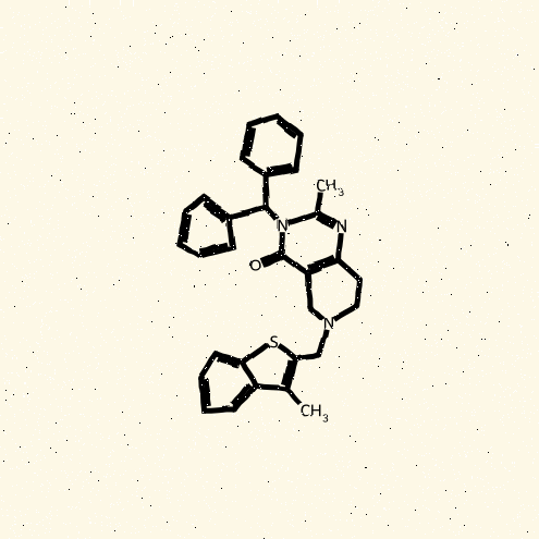 Cc1c(CN2CCc3nc(C)n(C(c4ccccc4)c4ccccc4)c(=O)c3C2)sc2ccccc12